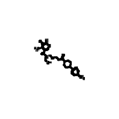 O=C(CCOC[C@H](CO)Nc1cn[nH]c(=O)c1C(F)(F)F)N1CCC(c2ccc(C(F)(F)F)cn2)CC1